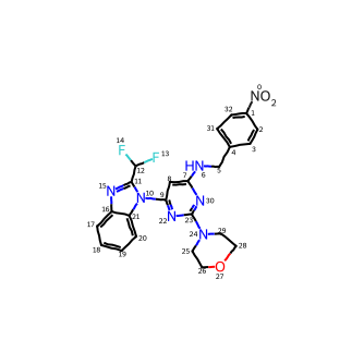 O=[N+]([O-])c1ccc(CNc2cc(-n3c(C(F)F)nc4ccccc43)nc(N3CCOCC3)n2)cc1